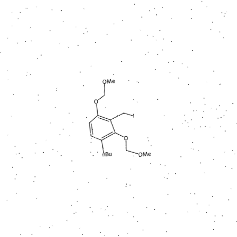 CCCCc1ccc(OCOC)c(CI)c1OCOC